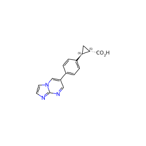 O=C(O)[C@H]1C[C@@H]1c1ccc(-c2cnc3nccn3c2)cc1